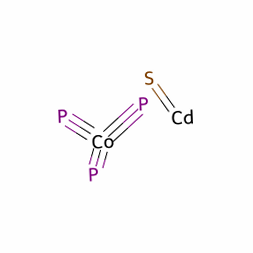 [P]#[Co](#[P])#[P].[S]=[Cd]